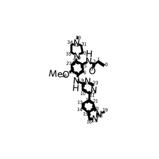 C=CC(=O)Nc1cc(Nc2cc(-c3ccc4cnn(C)c4c3)ncn2)c(OC)cc1N1CCN(C)CC1